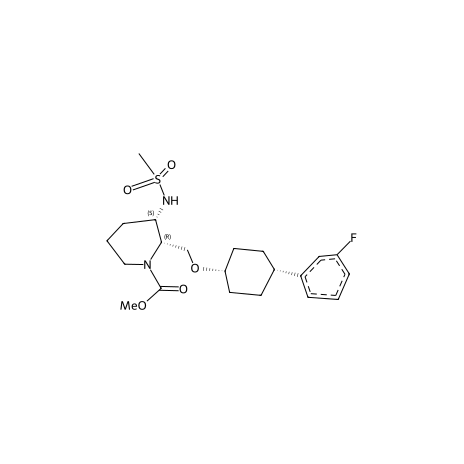 COC(=O)N1CCC[C@H](NS(C)(=O)=O)[C@@H]1CO[C@H]1CC[C@@H](c2cccc(F)c2)CC1